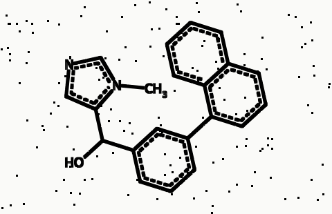 Cn1cncc1C(O)c1cccc(-c2cccc3ccccc23)c1